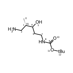 C[C@@H](CN)C(O)CCNC(=O)OC(C)(C)C